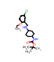 CCOc1ccc(Cl)cc1CNC1CCC(NC(=O)OC(C)(C)C)CC1